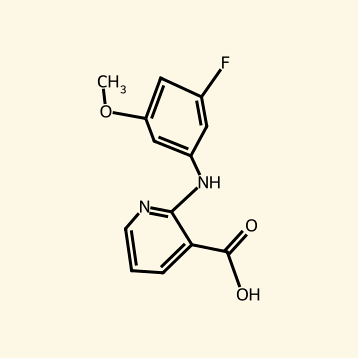 COc1cc(F)cc(Nc2ncccc2C(=O)O)c1